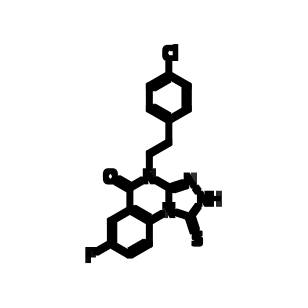 O=c1c2cc(F)ccc2n2c(=S)[nH]nc2n1CCc1ccc(Cl)cc1